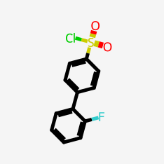 O=S(=O)(Cl)c1ccc(-c2ccccc2F)cc1